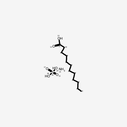 CCCCCCCCCCCC(=O)O.N.O=S(=O)(O)O